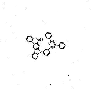 O=C1Cc2ccccc2-c2cc3c4ccccc4n(-c4cccc(-c5nc(-c6ccccc6)nc(-c6ccccc6)n5)c4)c3cc21